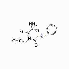 CCN(C(N)=O)N(C[C]=O)C(=O)/C=C/c1ccccc1